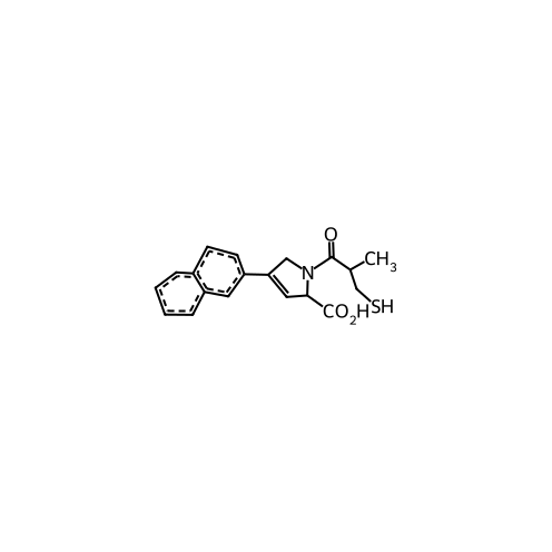 CC(CS)C(=O)N1CC(c2ccc3ccccc3c2)=CC1C(=O)O